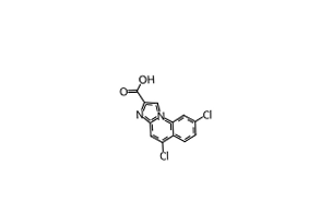 O=C(O)c1cn2c(cc(Cl)c3ccc(Cl)cc32)n1